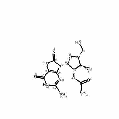 CC(=O)O[C@@H]1[C@H](O)[C@@H](CO)O[C@H]1n1c(=S)sc2c(=O)[nH]c(N)nc21